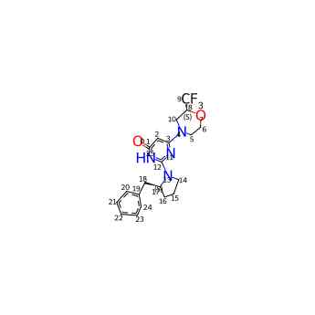 O=c1cc(N2CCO[C@H](C(F)(F)F)C2)nc(N2CCC[C@H]2Cc2ccccc2)[nH]1